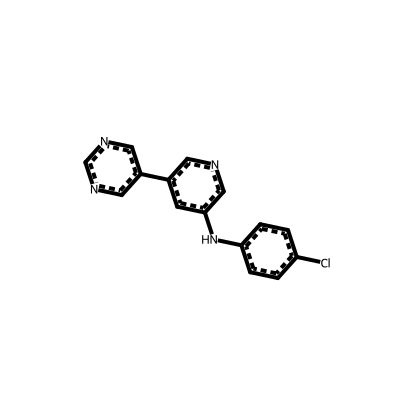 Clc1ccc(Nc2cncc(-c3cncnc3)c2)cc1